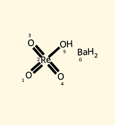 [BaH2].[O]=[Re](=[O])(=[O])[OH]